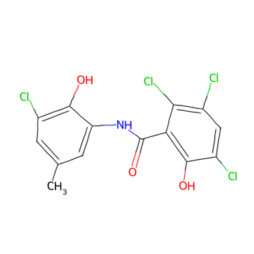 Cc1cc(Cl)c(O)c(NC(=O)c2c(O)c(Cl)cc(Cl)c2Cl)c1